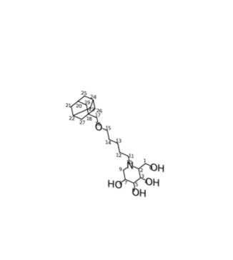 OCC1C(O)C(O)C(O)CN1CCCCCOCC12CC3CC(CC(C3)C1)C2